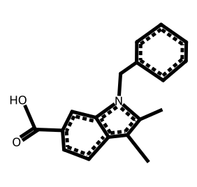 Cc1c(C)n(Cc2ccccc2)c2cc(C(=O)O)ccc12